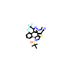 CCn1cc(-c2c(F)cccc2[C@H]2c3c(sc(C#N)c3C)CN2[S@+]([O-])C(C)(C)C)c(C(F)(F)F)n1